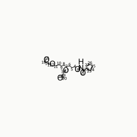 O=C(NOCCCC(CCCCOCC1CO1)OCC1CO1)c1ccccc1